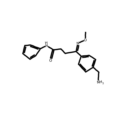 CON=C(CCC(=O)Nc1ccccc1)c1ccc(CN)cc1